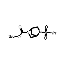 CCCS(=O)(=O)N1CC2CC1CN2C(=O)OC(C)(C)C